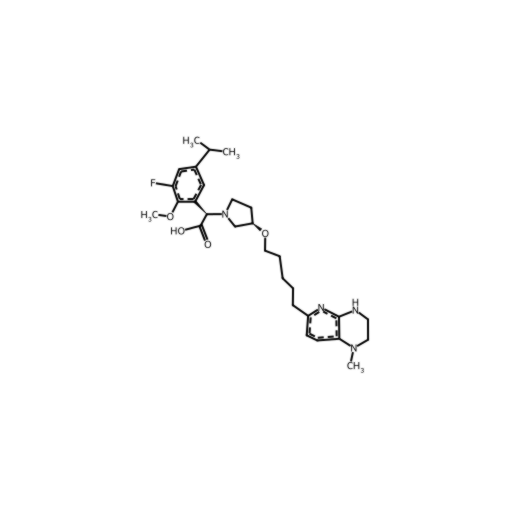 COc1c(F)cc(C(C)C)cc1[C@H](C(=O)O)N1CC[C@@H](OCCCCCc2ccc3c(n2)NCCN3C)C1